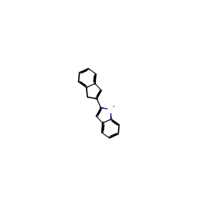 Cn1c(C2=Cc3ccccc3C2)cc2ccccc21